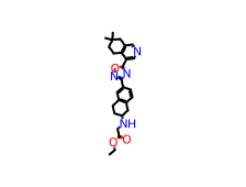 CCOC(=O)CNC1CCc2cc(-c3noc(-c4cncc5c4CCC(C)(C)C5)n3)ccc2C1